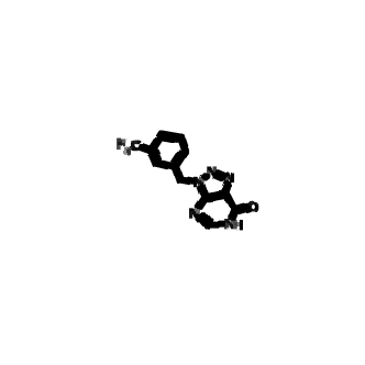 O=c1[nH]cnc2c1nnn2Cc1cccc(C(F)(F)F)c1